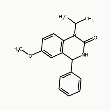 COc1ccc2c(c1)C(c1ccccc1)NC(=O)N2C(C)C